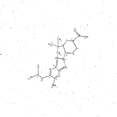 CC(C)(C)C1CN(C(=O)O)CCC1n1cc2cc(N)c(OC(F)F)cc2n1